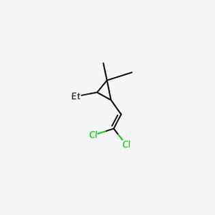 CCC1C(C=C(Cl)Cl)C1(C)C